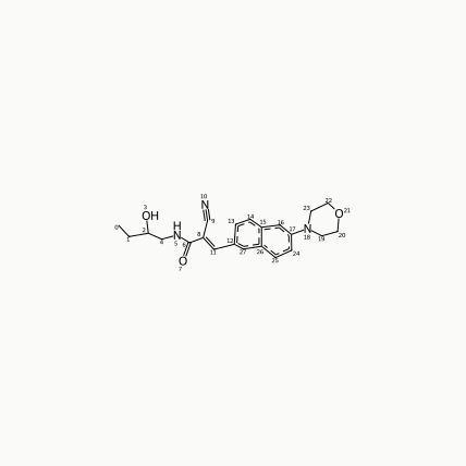 CCC(O)CNC(=O)/C(C#N)=C/c1ccc2cc(N3CCOCC3)ccc2c1